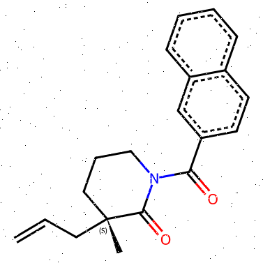 C=CC[C@]1(C)CCCN(C(=O)c2ccc3ccccc3c2)C1=O